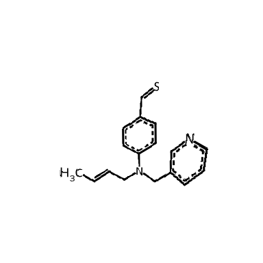 CC=CCN(Cc1cccnc1)c1ccc(C=S)cc1